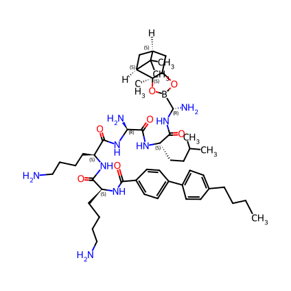 CCCCc1ccc(-c2ccc(C(=O)N[C@@H](CCCCN)C(=O)N[C@@H](CCCCN)C(=O)N[C@@H](N)C(=O)N[C@@H](CCC(C)C)C(=O)N[C@@H](N)B3OC4C[C@@H]5C[C@@H](C5(C)C)[C@]4(C)O3)cc2)cc1